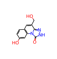 O=c1[nH]nc2c(CO)cc3ccc(O)cc3n12